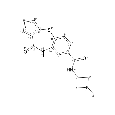 CN1CC(NC(=O)c2ccc3c(c2)NC(=O)c2cccn2S3)C1